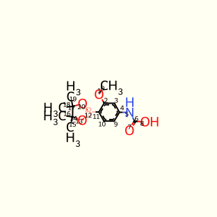 COc1cc(NC(=O)O)ccc1B1OC(C)(C)C(C)(C)O1